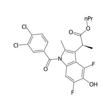 CCCOC(=O)[C@@H](C)c1c(C)n(C(=O)c2ccc(Cl)c(Cl)c2)c2cc(F)c(O)c(F)c12